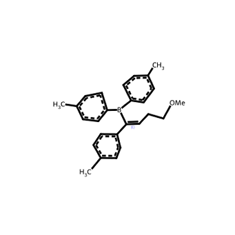 COCC/C=C(\B(c1ccc(C)cc1)c1ccc(C)cc1)c1ccc(C)cc1